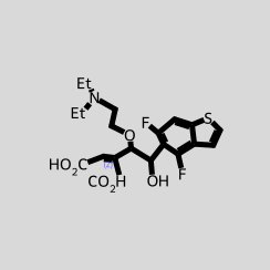 CCN(CC)CCOC(/C(=C/C(=O)O)C(=O)O)C(O)c1c(F)cc2sccc2c1F